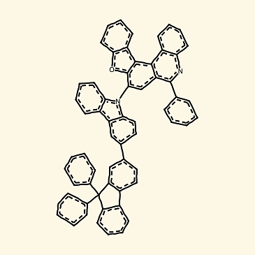 c1ccc(-c2nc3ccccc3c3c2cc(-n2c4ccccc4c4cc(-c5ccc6c(c5)C(c5ccccc5)(c5ccccc5)c5ccccc5-6)ccc42)c2oc4ccccc4c23)cc1